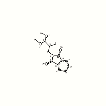 COC(OC)C(C)CN1C(=O)c2ccccc2C1=O